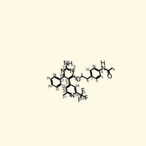 CC(=O)Nc1ccc(CCOc2nc(N)nc(-c3ccccc3)c2-c2cc(C)nc(C(F)(F)F)c2)cc1